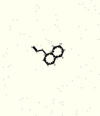 [CH]=CCc1cccc2ccccc12